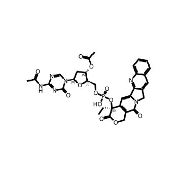 CC[C@@]1(OP(=O)(O)OC[C@H]2O[C@@H](n3cnc(NC(C)=O)nc3=O)C[C@@H]2OC(C)=O)C(=O)OCc2c1cc1n(c2=O)Cc2cc3ccccc3nc2-1